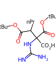 CCCC(C(=O)OC(C)(C)C)C(NC(=N)N)(C(=O)O)C(=O)OC(C)(C)C